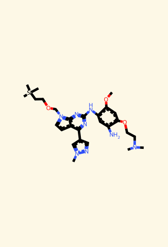 COc1cc(OCCN(C)C)c(N)cc1Nc1nc(-c2cnn(C)c2)c2ccn(COCC[Si](C)(C)C)c2n1